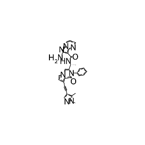 Cc1c(C#Cc2ccn3cc([C@@H](C)NC(=O)c4c(N)nn5cccnc45)n(-c4ccccc4)c(=O)c23)cnn1C